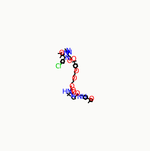 Cc1ccoc1-c1ccc(CNC(=O)C2CCCN2C(=O)C(NC(=O)COCCCOCCCOc2ccc(C(C)(C)OC(=O)CC3N=C(c4ccc(Cl)cc4)c4c(oc(C)c4C)-n4c(C)nnc43)cc2)C(C)(C)C)cc1